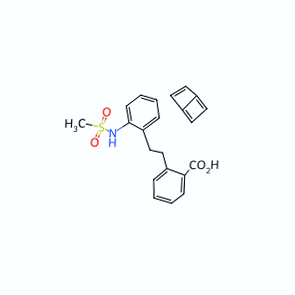 CS(=O)(=O)Nc1ccccc1CCc1ccccc1C(=O)O.c1cc2ccc1-2